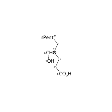 CCCCCCCCCC(=O)O.O=CO